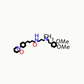 COc1ccc(CCN(C)CCCNC(=O)C/C=C/c2ccc(-n3ccccc3=O)cc2)cc1OC